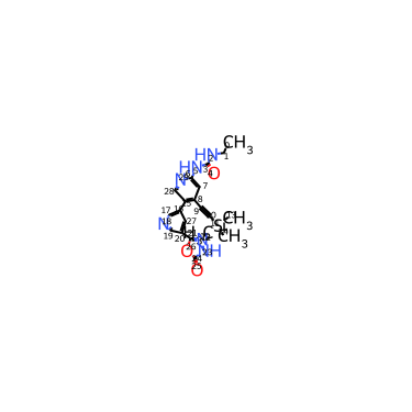 CCNC(=O)Nc1cc(C#C[Si](C)(C)C)c(-c2cncc(-c3n[nH]c(=O)o3)c2)cn1